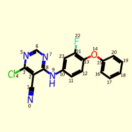 N#Cc1c(Cl)ncnc1Nc1ccc(Oc2ccccc2)c(F)c1